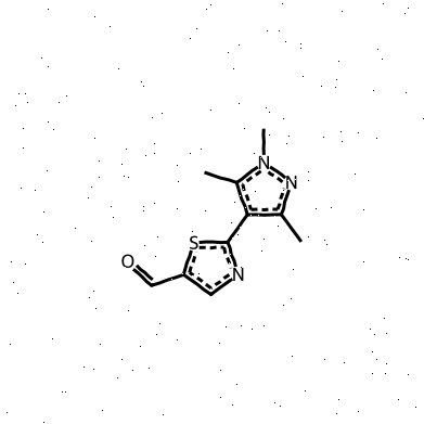 Cc1nn(C)c(C)c1-c1ncc(C=O)s1